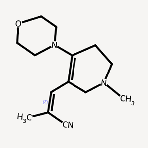 C/C(C#N)=C/C1=C(N2CCOCC2)CCN(C)C1